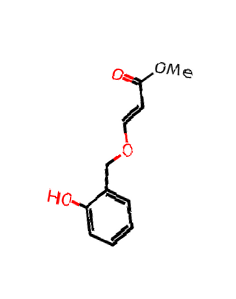 COC(=O)C=COCc1ccccc1O